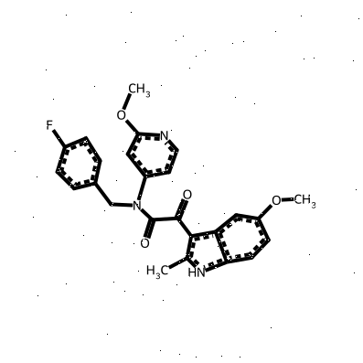 COc1ccc2[nH]c(C)c(C(=O)C(=O)N(Cc3ccc(F)cc3)c3ccnc(OC)c3)c2c1